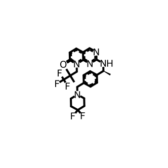 C[C@H](Nc1ncc2ccc(=O)n(CC(C)(C)C(F)(F)F)c2n1)c1ccc(CN2CCC(F)(F)CC2)cc1